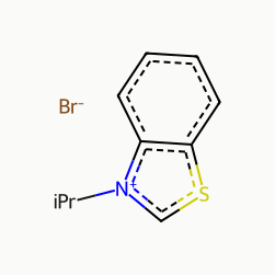 CC(C)[n+]1csc2ccccc21.[Br-]